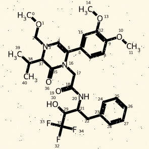 COCN1C=C(c2ccc(OC)c(OC)c2)N(CC(=O)NC(Cc2ccccc2)C(O)C(F)(F)F)C(=O)C1C(C)C